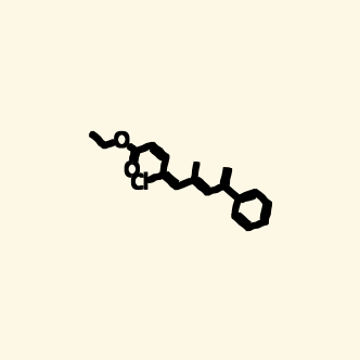 C=C(/C=C(C)/C=C(Cl)\C=C/C(=O)OCC)c1ccccc1